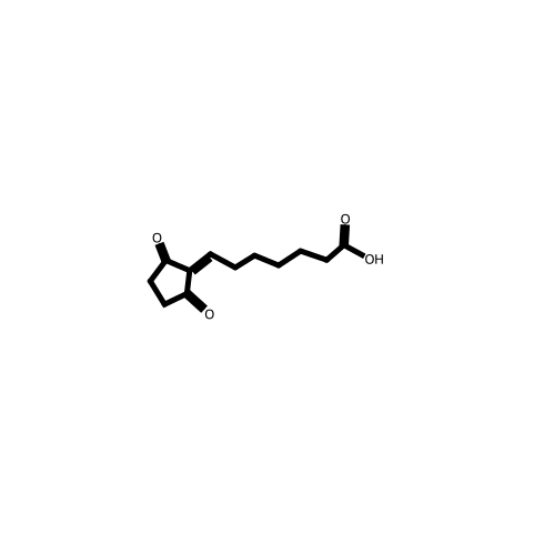 O=C(O)CCCCCC=C1C(=O)CCC1=O